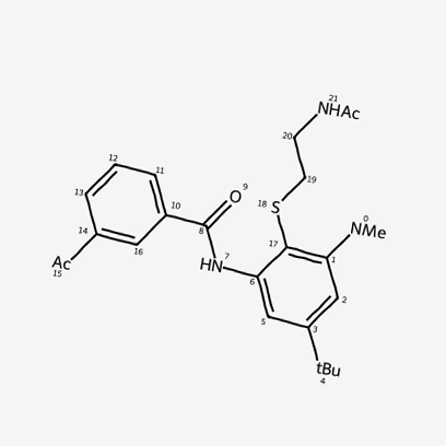 CNc1cc(C(C)(C)C)cc(NC(=O)c2cccc(C(C)=O)c2)c1SCCNC(C)=O